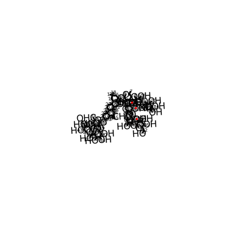 CC1OC(OC2C(C)OC(OC(=O)[C@]34CCC(C)(C)CC3C3=CCC5[C@@]6(C)CC[C@H](OC7OC(C=O)C(O)C(OC8OCC(O)C(O)C8O)C7OC7OC(CO)C(O)C(O)C7O)CC6[C@@](C)(C=O)C[C@@]5(C)[C@]3(C)C[C@H]4O)C(OC3OC(C)C(OC4OCC(O)C(OC5OC(CO)C(O)C(O)C5O)C4O)C(O)C3O)C2O)C(O)C(OC2OCC(O)C(O)C2O)C1O